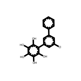 Oc1c(O)c(O)c(-c2cc(Cl)cc(-c3ccccc3)c2)c(O)c1O